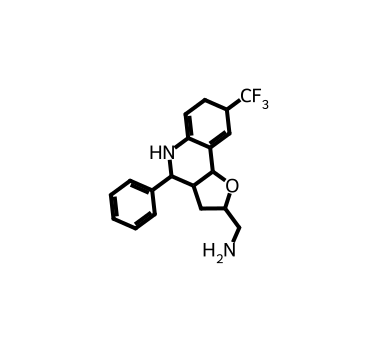 NCC1CC2C(O1)C1=CC(C(F)(F)F)CC=C1NC2c1ccccc1